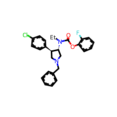 CCN(C(=O)Oc1ccccc1F)[C@@H]1CN(Cc2ccccc2)C[C@H]1c1ccc(Cl)cc1